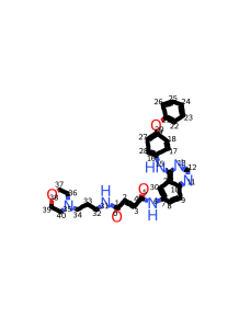 O=C(C=CC(=O)Nc1ccc2ncnc(Nc3ccc(Oc4ccccc4)cc3)c2c1)NCCCN1CCOCC1